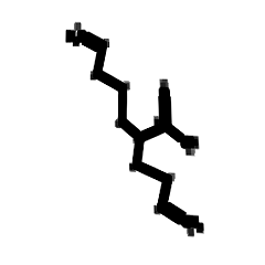 C=CCCCC(CCC=C)C(=O)O